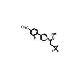 C=N/N=C(/CC1CC1(F)F)N1C=CC(c2ccc(C=O)cc2F)=CC1